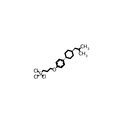 CC(C)C[C@H]1CC[C@H](c2ccc(OCCC[Si](Cl)(Cl)Cl)cc2)CC1